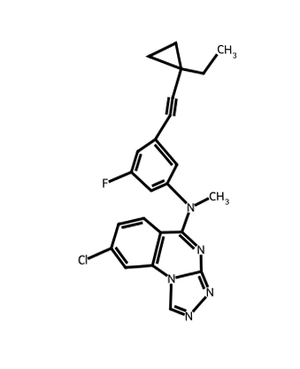 CCC1(C#Cc2cc(F)cc(N(C)c3nc4nncn4c4cc(Cl)ccc34)c2)CC1